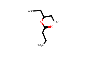 CC(=O)OCC(COC(C)=O)OC(=O)CCC(=O)O